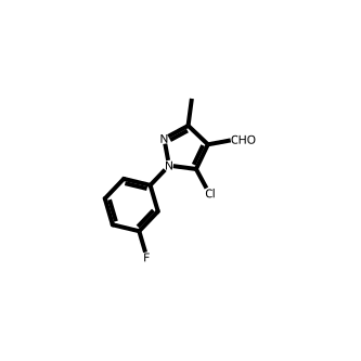 Cc1nn(-c2cccc(F)c2)c(Cl)c1C=O